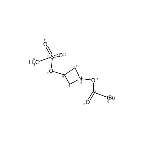 CC(C)(C)C(=O)ON1CC(OS(C)(=O)=O)C1